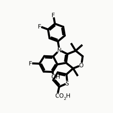 CC1(C)COC(C)(c2ccc(C(=O)O)s2)c2c1n(-c1ccc(F)c(F)c1)c1cc(F)cc(O)c21